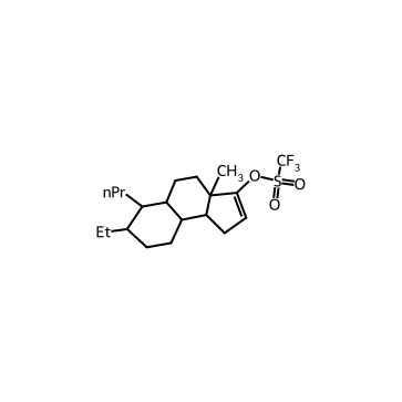 CCCC1C(CC)CCC2C1CCC1(C)C(OS(=O)(=O)C(F)(F)F)=CCC21